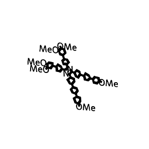 COc1ccc(-c2ccc(-c3ccc(-c4nc(-c5ccc(-c6ccc(OC)c(OC)c6)cc5)c(-c5ccc(-c6ccc(OC)c(OC)c6)cc5)nc4-c4ccc(-c5ccc(-c6ccc(OC)cc6)cc5)cc4)cc3)cc2)cc1